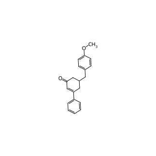 COc1ccc(CC2CC(=O)C=C(c3ccccc3)C2)cc1